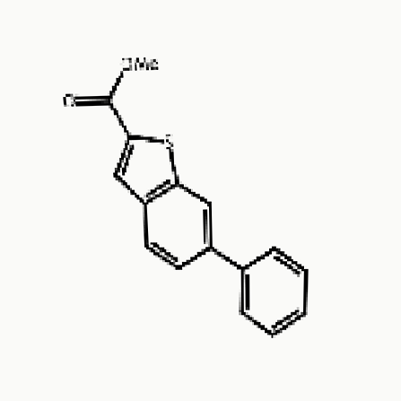 COC(=O)c1cc2ccc(-c3ccccc3)cc2s1